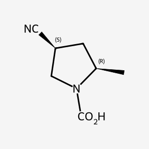 C[C@@H]1C[C@H](C#N)CN1C(=O)O